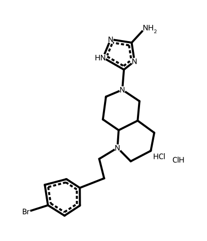 Cl.Cl.Nc1n[nH]c(N2CCC3C(CCCN3CCc3ccc(Br)cc3)C2)n1